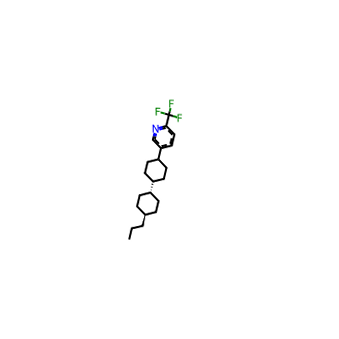 CCC[C@H]1CC[C@H](C2CCC(c3ccc(C(F)(F)F)nc3)CC2)CC1